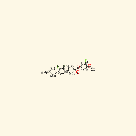 CCCC1CCC(c2ccc(C3CCC(C(=O)Oc4ccc(OCC)c(F)c4)CC3)c(F)c2F)CC1